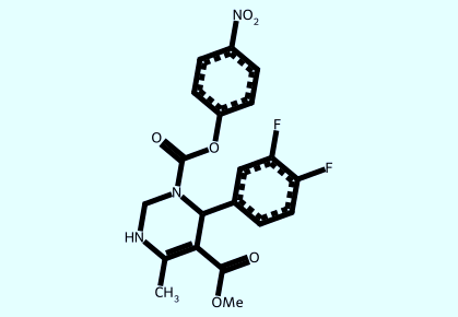 COC(=O)C1=C(C)NCN(C(=O)Oc2ccc([N+](=O)[O-])cc2)C1c1ccc(F)c(F)c1